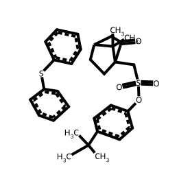 CC(C)(C)c1ccc(OS(=O)(=O)CC23CCC(CC2=O)C3(C)C)cc1.c1ccc(Sc2ccccc2)cc1